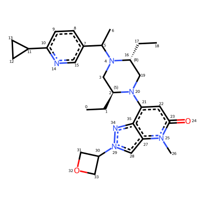 CC[C@H]1CN(C(C)c2ccc(C3CC3)nc2)[C@H](CC)CN1c1cc(=O)n(C)c2cn(C3COC3)nc12